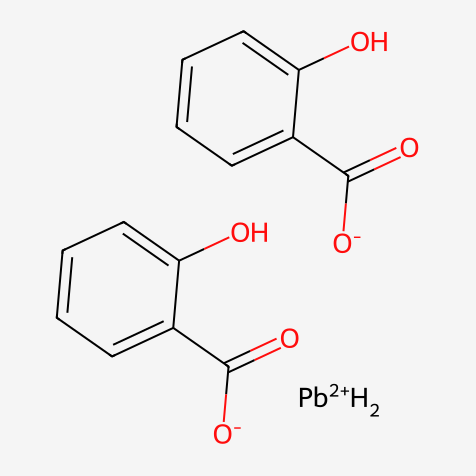 O=C([O-])c1ccccc1O.O=C([O-])c1ccccc1O.[PbH2+2]